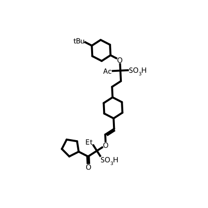 CCC(O/C=C/C1CCC(CCC(OC2CCC(C(C)(C)C)CC2)(C(C)=O)S(=O)(=O)O)CC1)(C(=O)C1CCCC1)S(=O)(=O)O